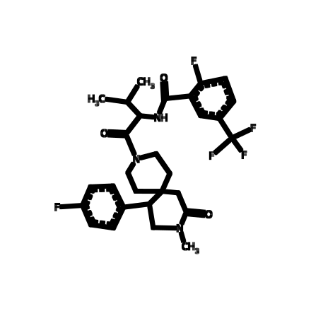 CC(C)C(NC(=O)c1cc(C(F)(F)F)ccc1F)C(=O)N1CCC2(CC1)CC(=O)N(C)CC2c1ccc(F)cc1